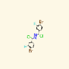 Fc1cc(C(Cl)=NN=C(Cl)c2ccc(Br)c(F)c2)ccc1Br